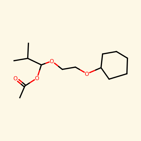 CC(=O)OC(OCCOC1CCCCC1)C(C)C